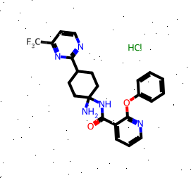 Cl.NC1(NC(=O)c2cccnc2Oc2ccccc2)CCC(c2nccc(C(F)(F)F)n2)CC1